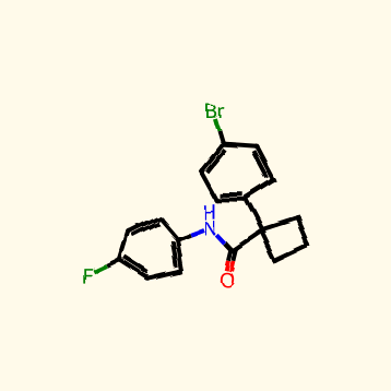 O=C(Nc1ccc(F)cc1)C1(c2ccc(Br)cc2)CCC1